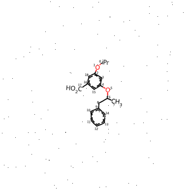 CC(C)Oc1cc(OC(C)Cc2ccccc2)cc(C(=O)O)c1